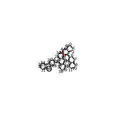 c1ccc2c(-c3ccc4ccccc4c3-c3c4ccccc4c(-c4ccc5c(c4)oc4ccccc45)c4ccccc34)cccc2c1